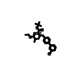 CCOC(=O)C(C)CC(Cc1ccc(-c2cccc(Cl)c2)cc1)NC(=O)OC(C)(C)C